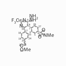 CNS(=O)(=O)c1ccc(-c2c(NN)nc(C(F)(F)F)nc2-c2ccc(SOOC)cc2)cc1